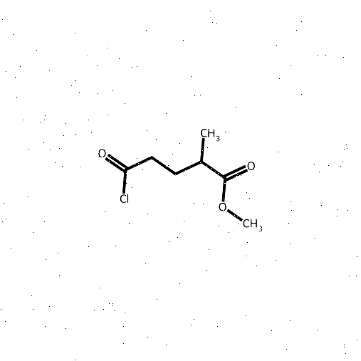 COC(=O)C(C)CCC(=O)Cl